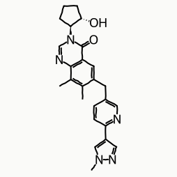 Cc1c(Cc2ccc(-c3cnn(C)c3)nc2)cc2c(=O)n([C@H]3CCC[C@@H]3O)cnc2c1C